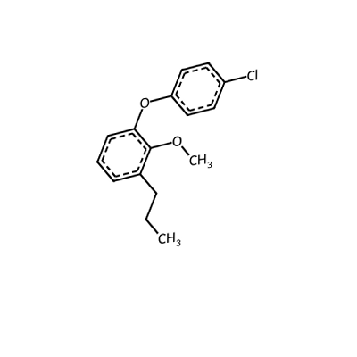 CCCc1cccc(Oc2ccc(Cl)cc2)c1OC